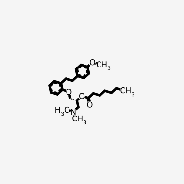 CCCCCCC(=O)O[C@@H](COc1ccccc1CCc1ccc(OC)cc1)CN(C)C